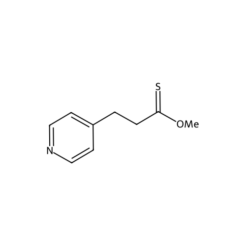 COC(=S)CCc1ccncc1